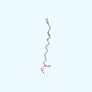 COC(=O)CCCCCCCC=CCC#N